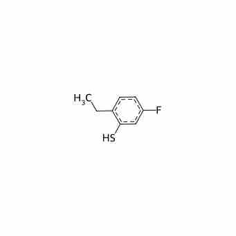 CCc1ccc(F)cc1S